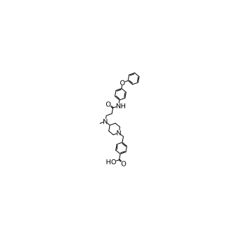 CN(CCC(=O)Nc1ccc(Oc2ccccc2)cc1)C1CCN(Cc2ccc(C(=O)O)cc2)CC1